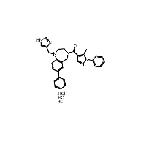 Cc1c(C(=O)N2CCN(Cc3c[nH]cn3)c3ccc(-c4ccccc4)cc3C2)cnn1-c1ccccc1.Cl.Cl.Cl